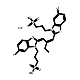 CCC(=Cc1oc2ccc(Cl)cc2[n+]1CCCS(=O)(=O)O)C=C1Oc2ccc(Cl)cc2N1CCCS(=O)(=O)O.[Na+]